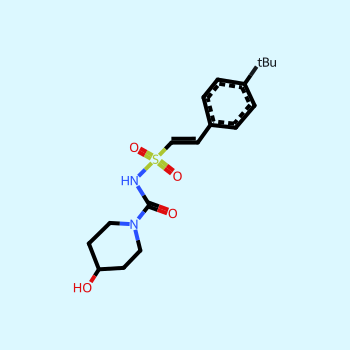 CC(C)(C)c1ccc(C=CS(=O)(=O)NC(=O)N2CCC(O)CC2)cc1